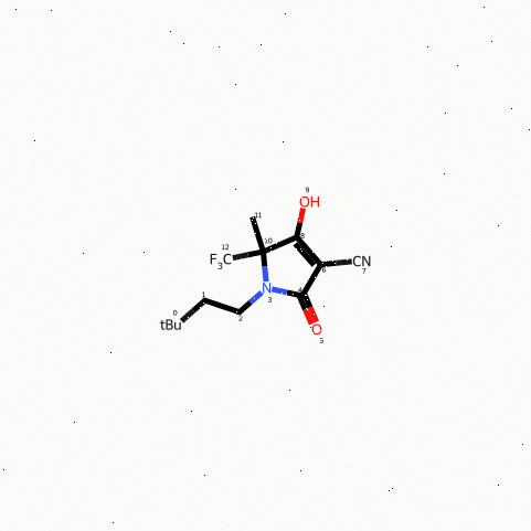 CC(C)(C)CCN1C(=O)C(C#N)=C(O)C1(C)C(F)(F)F